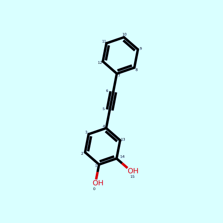 Oc1ccc(C#Cc2ccccc2)cc1O